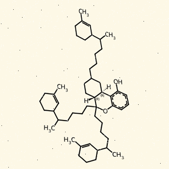 CC1=CC(C(C)CCCCC2CC[C@@H]3[C@@H](C2)c2c(O)cccc2OC3(CCCCC(C)C2C=C(C)CCC2)CCCCC(C)C2C=C(C)CCC2)CCC1